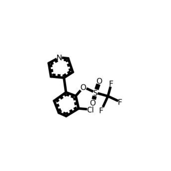 O=S(=O)(Oc1c(Cl)cccc1-c1ccncc1)C(F)(F)F